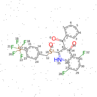 O=C(c1ccccc1)c1c([S+]([O-])Cc2ccc(S(F)(F)(F)(F)F)cc2)[nH]c2c(F)ccc(F)c2c1=O